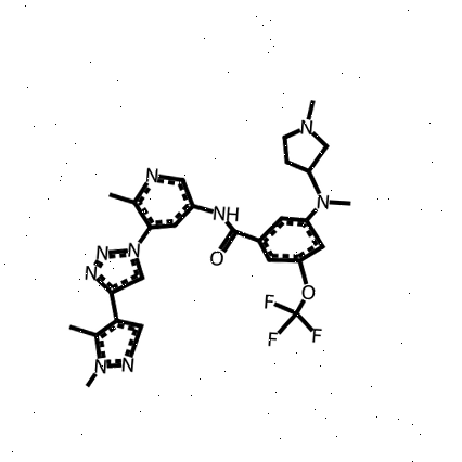 Cc1ncc(NC(=O)c2cc(OC(F)(F)F)cc(N(C)C3CCN(C)C3)c2)cc1-n1cc(-c2cnn(C)c2C)nn1